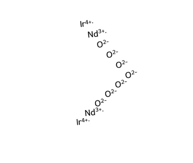 [Ir+4].[Ir+4].[Nd+3].[Nd+3].[O-2].[O-2].[O-2].[O-2].[O-2].[O-2].[O-2]